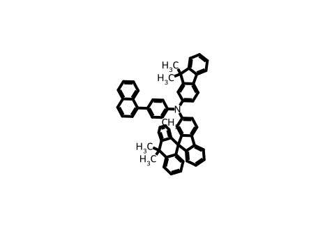 Cc1cc(-c2cccc3ccccc23)ccc1N(c1ccc2c(c1)C(C)(C)c1ccccc1-2)c1ccc2c(c1)C1(c3ccccc3-2)c2ccccc2C(C)(C)c2ccccc21